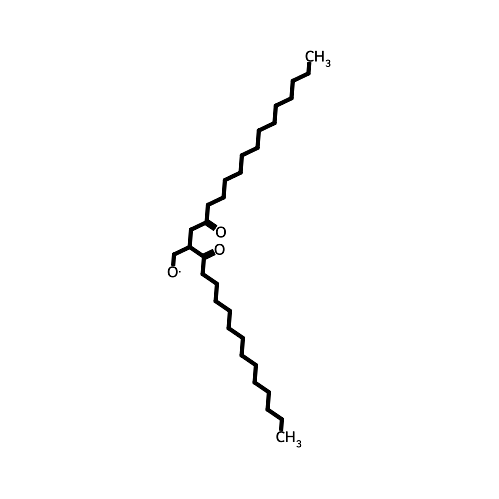 CCCCCCCCCCCCCC(=O)CC(C[O])C(=O)CCCCCCCCCCCCC